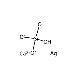 [Ag+].[Ca+2].[O-][Si]([O-])([O-])O